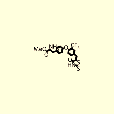 COC(=O)[C@@H](N)Cc1ccc(Oc2ccc(C=C3SC(=S)NC3=O)cc2C(F)(F)F)cc1